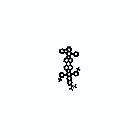 CC(C)N(c1ccc2cc3c(-c4cccc(C(C)(C)C)c4)c4c(c(-c5cccc(C(C)(C)C)c5)c3cc2c1)-c1ccc2c3ccc5c6c(-c7ccccc7)c7cccc8c9ccccc9c(c78)c6c6ccc(c7ccc-4c1c27)c3c56)C(C)C